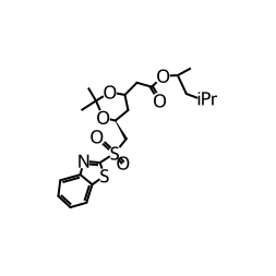 CC(C)CC(C)OC(=O)CC1C[C@@H](CS(=O)(=O)c2nc3ccccc3s2)OC(C)(C)O1